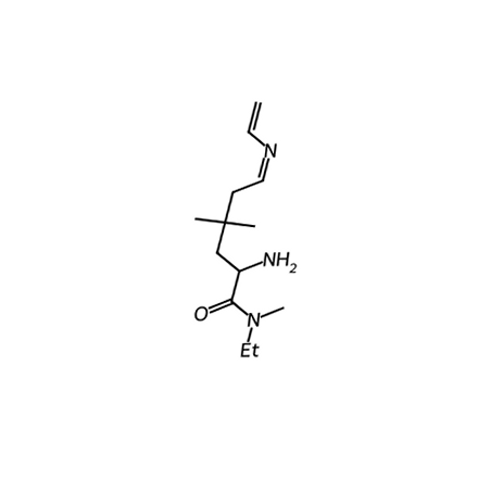 C=C/N=C\CC(C)(C)CC(N)C(=O)N(C)CC